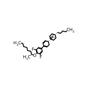 CCCCCC[C@@H](C)Oc1c(F)cc(C2=CCC([C@]34CC[C@](CCCCC)(CC3)CC4)C=C2)cc1F